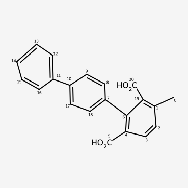 Cc1ccc(C(=O)O)c(-c2ccc(-c3ccccc3)cc2)c1C(=O)O